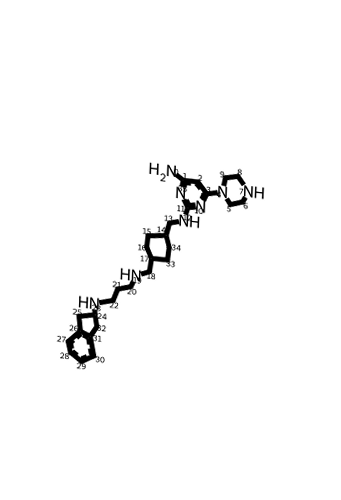 Nc1cc(N2CCNCC2)nc(NCC2CCC(CNCCCNC3Cc4ccccc4C3)CC2)n1